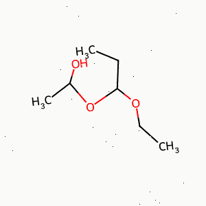 CCOC(CC)OC(C)O